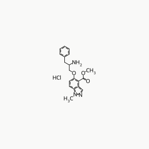 COC(=O)c1c(OCC(N)Cc2ccccc2)ccc2c1cnn2C.Cl